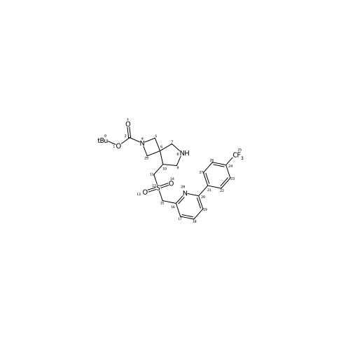 CC(C)(C)OC(=O)N1CC2(CNCC2CS(=O)(=O)Cc2cccc(-c3ccc(C(F)(F)F)cc3)n2)C1